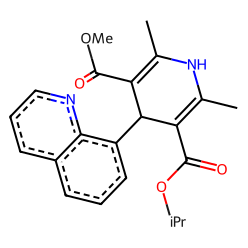 COC(=O)C1=C(C)NC(C)=C(C(=O)OC(C)C)C1c1cccc2cccnc12